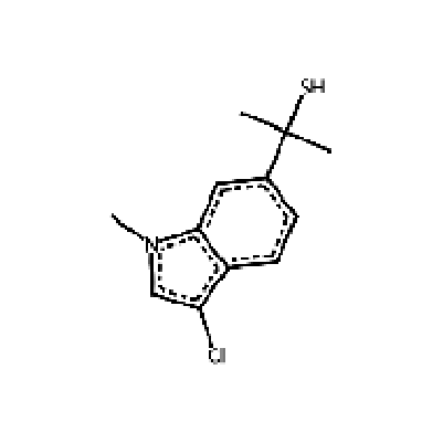 Cn1cc(Cl)c2ccc(C(C)(C)S)cc21